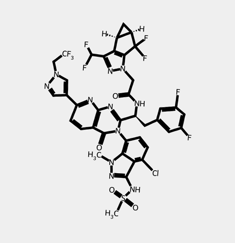 Cn1nc(NS(C)(=O)=O)c2c(Cl)ccc(-n3c([C@H](Cc4cc(F)cc(F)c4)NC(=O)Cn4nc(C(F)F)c5c4C(F)(F)[C@@H]4C[C@H]54)nc4nc(-c5cnn(CC(F)(F)F)c5)ccc4c3=O)c21